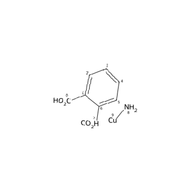 O=C(O)c1ccccc1C(=O)O.[NH2][Cu]